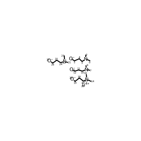 CN(C)CCC[O-].CN(C)CCC[O-].CN(C)CCC[O-].CN(C)CCC[O-].[Ti+4]